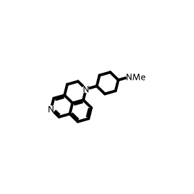 CNC1CCC(N2CCc3cncc4cccc2c34)CC1